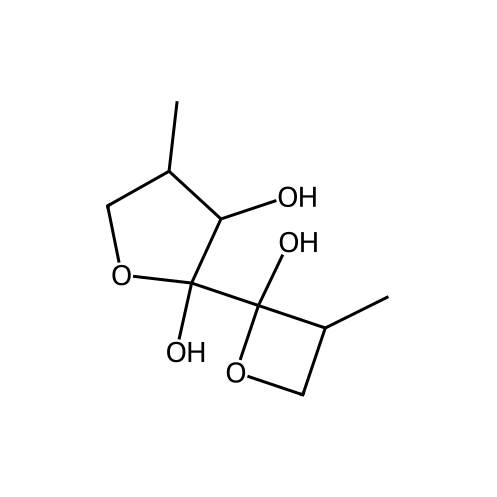 CC1COC(O)(C2(O)OCC2C)C1O